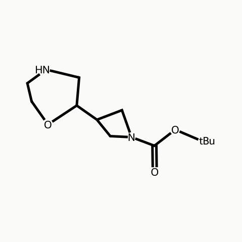 CC(C)(C)OC(=O)N1CC(C2CNCCO2)C1